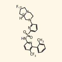 Cc1ccccc1-c1nc(NS(=O)(=O)c2cccc(N3CCN4C[C@@H](F)C[C@H]4C3)n2)ccc1C(F)(F)F